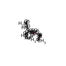 CN(C)CCn1nnnc1SCC1=C(C(=O)[O-])N2C(=O)[C@@H](NC(=O)[C@H](NC(=O)N3CCNC3=O)c3ccc(NC(=O)OC[C@@H](N)C(=O)[O-])cc3)[C@@H]2SC1.[Na+].[Na+]